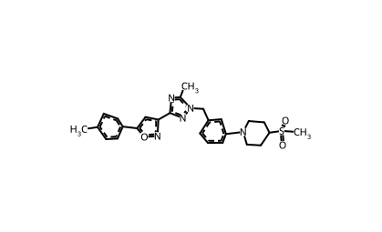 Cc1ccc(-c2cc(-c3nc(C)n(Cc4cccc(N5CCC(S(C)(=O)=O)CC5)c4)n3)no2)cc1